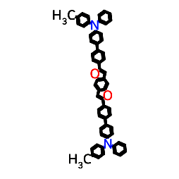 Cc1ccc(N(c2ccccc2)c2ccc(-c3ccc(-c4cc5cc6oc(-c7ccc(-c8ccc(N(c9ccccc9)c9ccc(C)cc9)cc8)cc7)cc6cc5o4)cc3)cc2)cc1